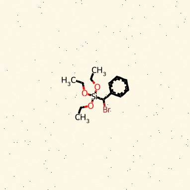 CCO[Si](OCC)(OCC)C(Br)c1ccccc1